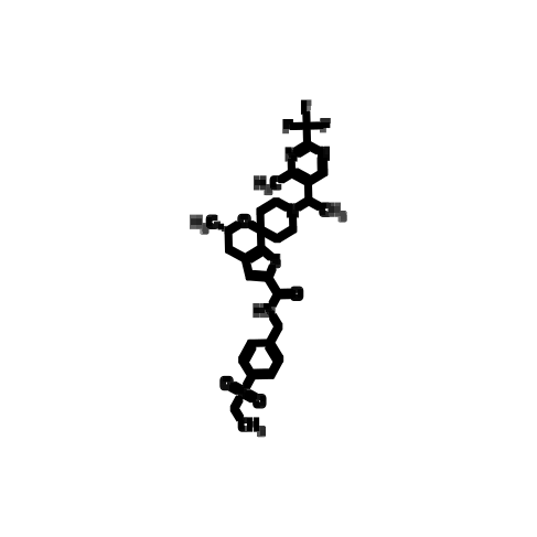 CCS(=O)(=O)c1ccc(CNC(=O)c2cc3c(s2)C2(CCN(C(C)c4cnc(C(F)(F)F)nc4C)CC2)O[C@@H](C)C3)cc1